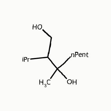 CCCCCC(C)(O)C(CO)C(C)C